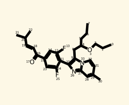 CCCOC(CCC)Cc1c(-c2c(F)cc(C(=O)/C=C/C(C)C)cc2F)nc2cc(C)ccn12